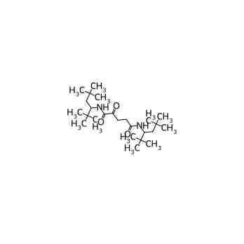 CC(C)(C)CC(NC(=O)CCC(=O)C(=O)NC(CC(C)(C)C)C(C)(C)C)C(C)(C)C